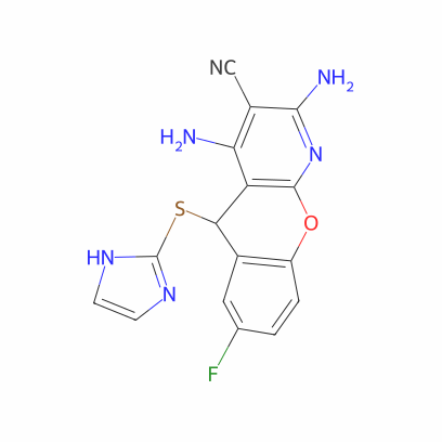 N#Cc1c(N)nc2c(c1N)C(Sc1ncc[nH]1)c1cc(F)ccc1O2